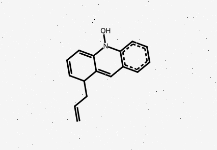 C=CCC1C=CC=C2C1=Cc1ccccc1N2O